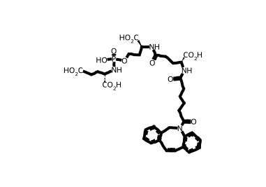 O=C(O)CC[C@H](NP(=O)(O)OCC[C@H](NC(=O)CC[C@@H](NC(=O)CCCCC(=O)N1Cc2ccccc2/C=C\c2ccccc21)C(=O)O)C(=O)O)C(=O)O